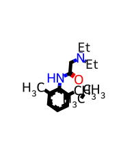 CC.CCN(CC)CC(=O)Nc1c(C)cccc1C